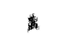 O=C(NC(F)(C(F)F)C1CC1)c1cn(-c2c(F)cc(F)cc2F)c2nc(Cl)ccc2c1=O